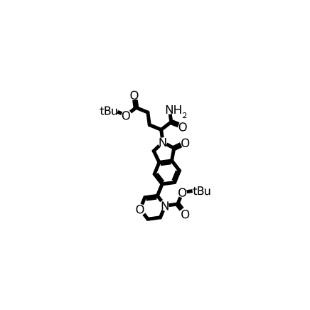 CC(C)(C)OC(=O)CCC(C(N)=O)N1Cc2cc(C3=COCCN3C(=O)OC(C)(C)C)ccc2C1=O